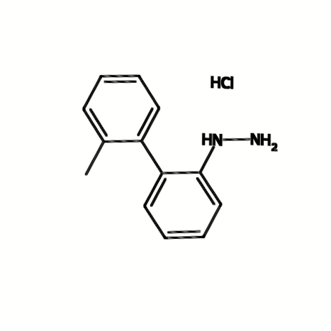 Cc1ccccc1-c1ccccc1NN.Cl